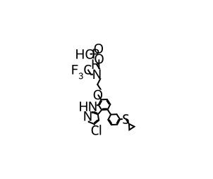 O=[PH](O)OCCN(CCCOc1ccc(C2C=CC=C(SC3CC3)C2)c2c1[nH]c1ncc(Cl)cc12)CC(F)(F)F